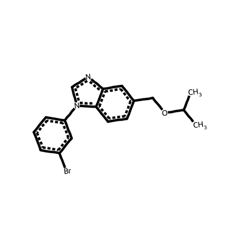 CC(C)OCc1ccc2c(c1)ncn2-c1cccc(Br)c1